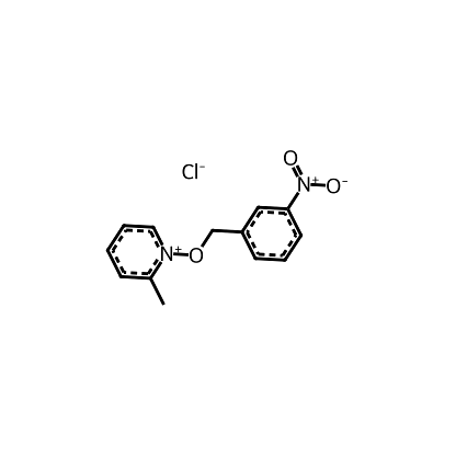 Cc1cccc[n+]1OCc1cccc([N+](=O)[O-])c1.[Cl-]